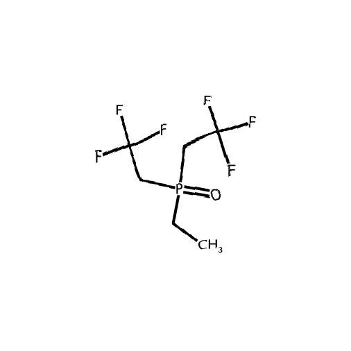 CCP(=O)(CC(F)(F)F)CC(F)(F)F